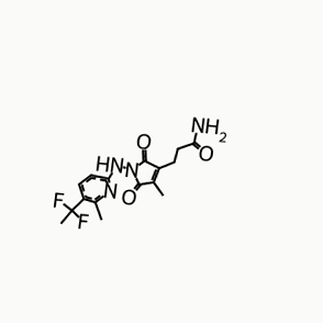 CC1=C(CCC(N)=O)C(=O)N(Nc2ccc(C(C)(F)F)c(C)n2)C1=O